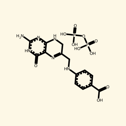 Nc1nc2c(c(=O)[nH]1)N=C(CNc1ccc(C(=O)O)cc1)CN2.O=P(O)(O)OP(=O)(O)O